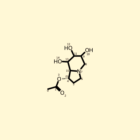 CC(=O)O[C@H]1CCN2CC(O)C(O)C(O)C12